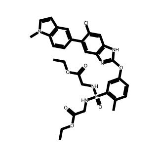 CCOC(=O)CNP(=O)(NCC(=O)OCC)c1cc(Oc2nc3cc(-c4ccc5c(ccn5C)c4)c(Cl)cc3[nH]2)ccc1C